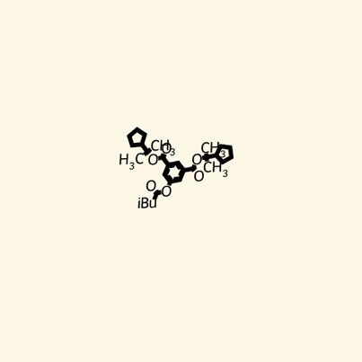 CCC(C)C(=O)Oc1cc(C(=O)OC(C)(C)C2CCCC2)cc(C(=O)OC(C)(C)C2CCCC2)c1